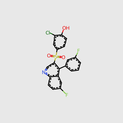 O=S(=O)(c1ccc(O)c(Cl)c1)c1cnc2ccc(F)cc2c1-c1cccc(F)c1